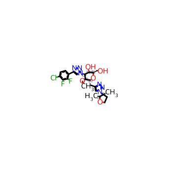 CO[C@@H]1[C@@H](n2cc(-c3ccc(Cl)c(F)c3F)nn2)[C@@H](O)[C@@H](CO)O[C@@H]1Cc1cn([C@]2(C)CCO[C@H]2C)nn1